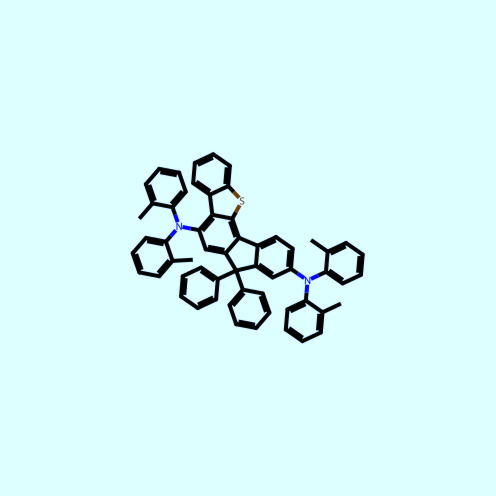 Cc1ccccc1N(c1ccc2c(c1)C(c1ccccc1)(c1ccccc1)c1cc(N(c3ccccc3C)c3ccccc3C)c3c(sc4ccccc43)c1-2)c1ccccc1C